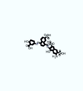 Nc1cc2c(O)c(/N=N/c3ccc(/N=N/c4ccc(O)c(C(=O)O)c4)c4ccc(S(=O)(=O)O)cc34)c(S(=O)(=O)O)cc2cc1S(=O)(=O)O